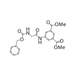 COC(=O)c1cc(NC(=O)CNC(=O)OCc2ccccc2)cc(C(=O)OC)c1